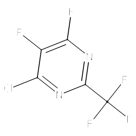 Fc1nc(C(F)(F)F)nc(Cl)c1F